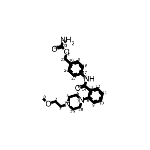 COCCN1CCN(c2ccccc2C(=O)Nc2ccc(COC(N)=O)cc2)CC1